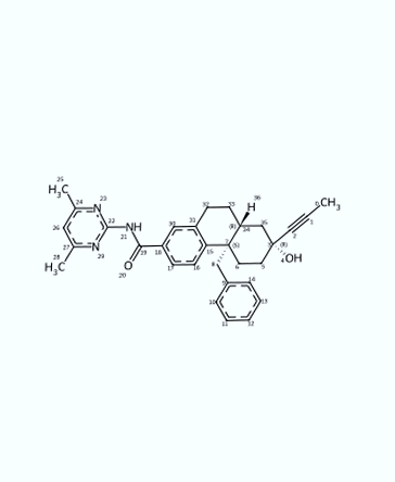 CC#C[C@@]1(O)CC[C@@]2(Cc3ccccc3)c3ccc(C(=O)Nc4nc(C)cc(C)n4)cc3CC[C@@H]2C1